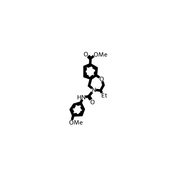 CCC1COc2cc(C(=O)OC)ccc2CN1C(=O)Nc1ccc(OC)cc1